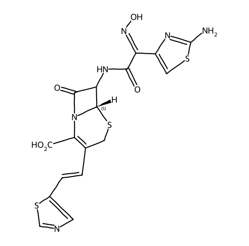 Nc1nc(C(=NO)C(=O)NC2C(=O)N3C(C(=O)O)=C(C=Cc4cncs4)CS[C@@H]23)cs1